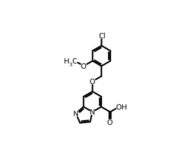 COc1cc(Cl)ccc1COc1cc(C(=O)O)n2ccnc2c1